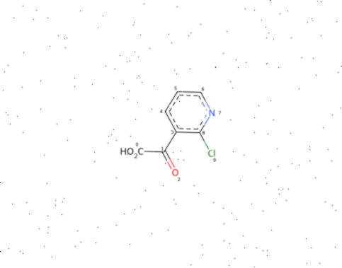 O=C(O)C(=O)c1cccnc1Cl